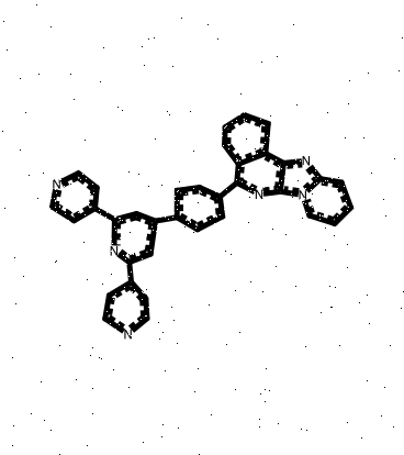 c1ccc2c(c1)c(-c1ccc(-c3cc(-c4ccncc4)nc(-c4ccncc4)c3)cc1)nc1c2nc2ccccn21